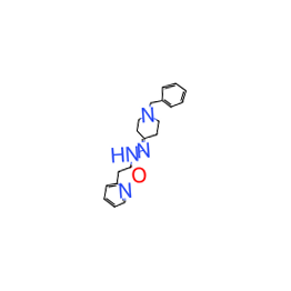 O=C(Cc1ccccn1)NN=C1CCN(Cc2ccccc2)CC1